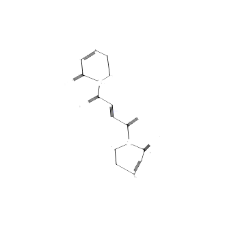 O=C1C=CCCN1C(=O)/C=C/C(=O)N1CCC=CC1=O